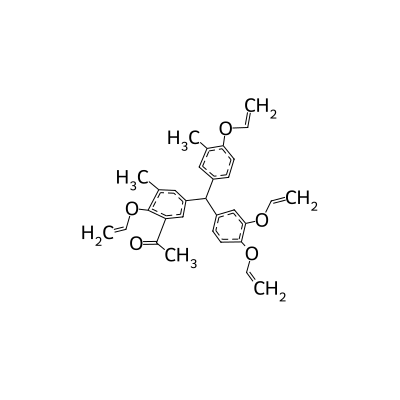 C=COc1ccc(C(c2ccc(OC=C)c(OC=C)c2)c2cc(C)c(OC=C)c(C(C)=O)c2)cc1C